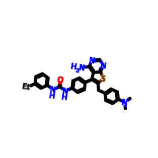 CCc1cccc(NC(=O)Nc2ccc(-c3c(Cc4ccc(N(C)C)cc4)sc4ncnc(N)c34)cc2)c1